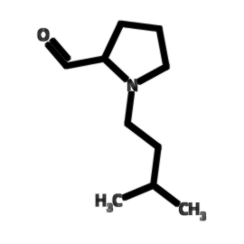 CC(C)CCN1CCCC1C=O